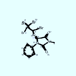 CN1C(=O)/C(=N\C(Br)C(Br)(Br)Br)N(c2ccccc2)C1=O